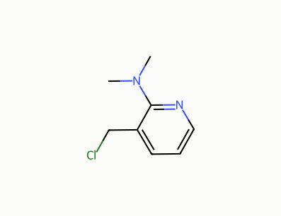 CN(C)c1ncccc1CCl